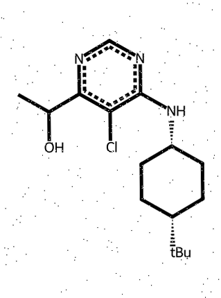 CC(O)c1ncnc(N[C@H]2CC[C@@H](C(C)(C)C)CC2)c1Cl